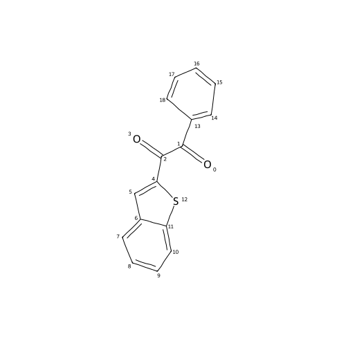 O=C(C(=O)c1cc2ccccc2s1)c1ccccc1